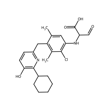 Cc1cc(NC(C=O)C(=O)O)c(Cl)c(C)c1Cc1ccc(O)c(C2CCCCC2)n1